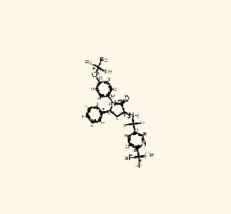 CC(C)(NC1CC(c2ccccc2)N(c2ccc(OC(F)(F)F)cc2)C1=O)c1ccc(C(F)(F)F)nc1